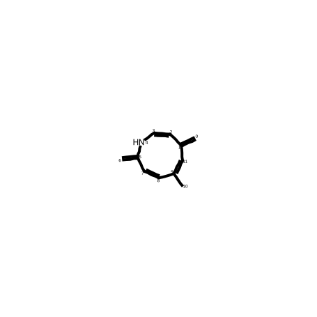 C=c1cc[nH]c(=C)ccc(C)c1